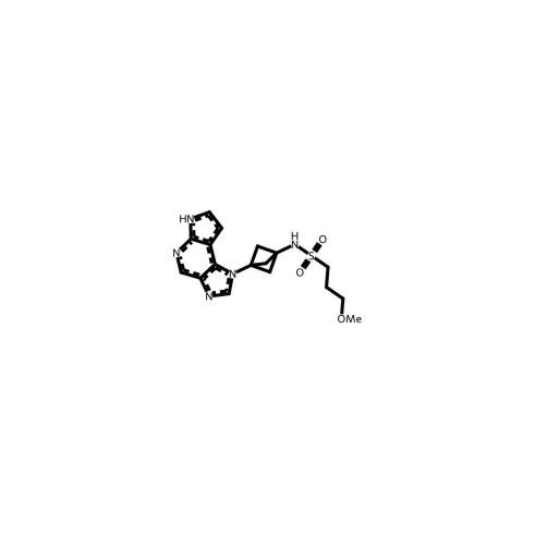 COCCCS(=O)(=O)NC12CC(n3cnc4cnc5[nH]ccc5c43)(C1)C2